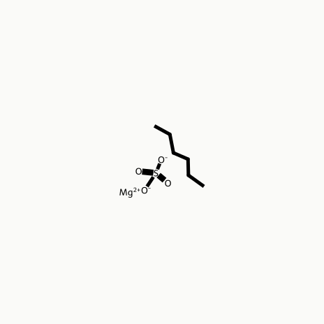 CCCCCC.O=S(=O)([O-])[O-].[Mg+2]